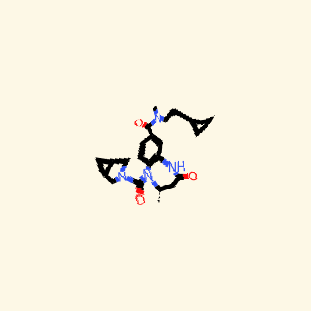 C[C@H]1CC(=O)Nc2cc(C(=O)N(C)CCC3CC3)ccc2N1C(=O)N1CC2CC2C1